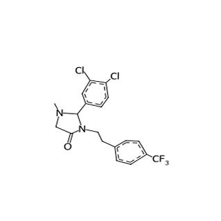 CN1CC(=O)N(CCc2ccc(C(F)(F)F)cc2)C1c1ccc(Cl)c(Cl)c1